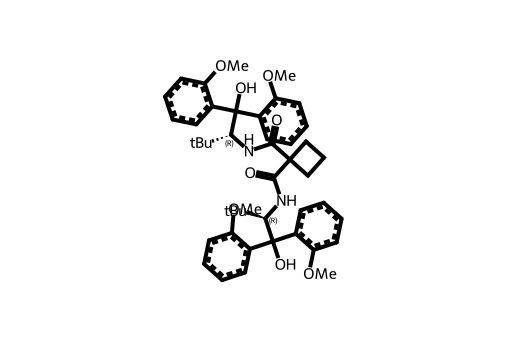 COc1ccccc1C(O)(c1ccccc1OC)[C@H](NC(=O)C1(C(=O)N[C@H](C(C)(C)C)C(O)(c2ccccc2OC)c2ccccc2OC)CCC1)C(C)(C)C